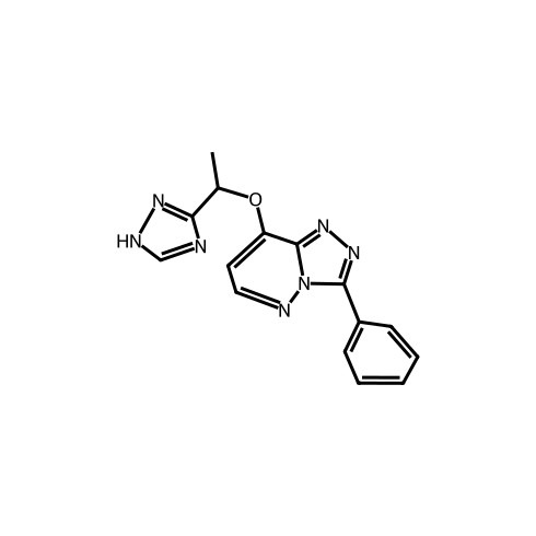 CC(Oc1ccnn2c(-c3ccccc3)nnc12)c1nc[nH]n1